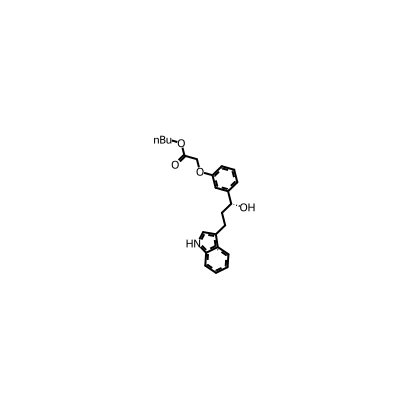 CCCCOC(=O)COc1cccc([C@H](O)CCc2c[nH]c3ccccc23)c1